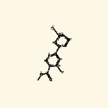 COC(=O)c1cnc(-c2cccc(Cl)c2)cc1C